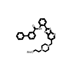 COCCN1CCN(Cc2cnc3sc(-c4ccccc4NC(=O)c4cccc(-c5ccccc5)c4)nc3c2)CC1